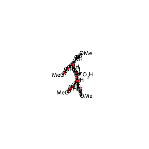 COCCOCCOCC(=O)NCCOCCOCC(COCCOCCNC(=O)COCCOCCOC)OC(=O)NCCOCCOCC(COCCOCCNC(=O)OC(COCCOCCNC(=O)COCCOCCOC)COCCOCCNC(=O)COCCOCCOC)OC(=O)NCCC(=O)O